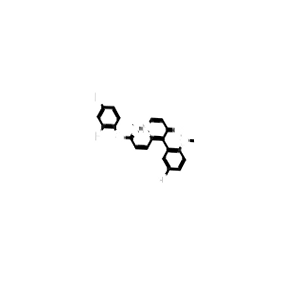 COc1ccc(Br)cc1-c1c(=O)ccn2nc(Oc3ccc(F)cc3F)ccc12